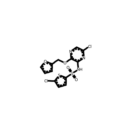 O=S(=O)(Nc1nc(Cl)cnc1OCc1ccco1)c1ccc(Cl)s1